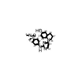 CN=S(=O)(I)c1ccc(Nc2nccc(N3CCCc4cc(O)ccc43)n2)cc1